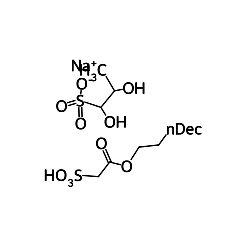 CC(O)C(O)S(=O)(=O)[O-].CCCCCCCCCCCCOC(=O)CS(=O)(=O)O.[Na+]